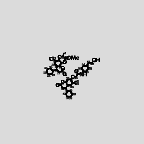 COC(=O)C(C)Oc1cc2oc(=O)cc(-c3ccccc3)c2cc1Cl.O=C(COc1cc2oc(=O)cc(-c3ccccc3)c2cc1Cl)Nc1ccc(CCO)cc1